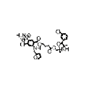 C[C@@H](NC(C)(C)COC(=O)CCCOC(=O)c1cc(S(N)(=O)=O)c(Cl)cc1NCc1ccco1)C(=O)c1cccc(Cl)c1